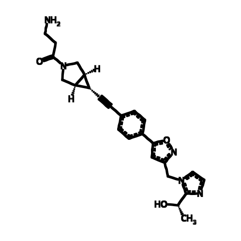 C[C@H](O)c1nccn1Cc1cc(-c2ccc(C#C[C@@H]3[C@H]4CN(C(=O)CCN)C[C@@H]34)cc2)on1